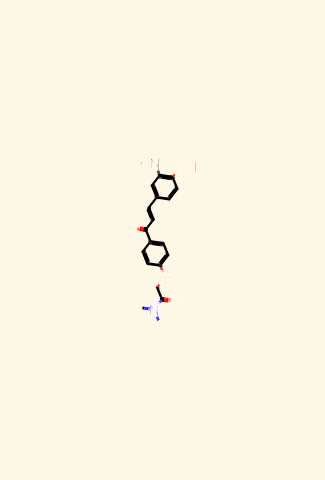 CN(C)C(=O)COc1ccc(C(=O)C=Cc2ccc(O)c([N+](=O)[O-])c2)cc1